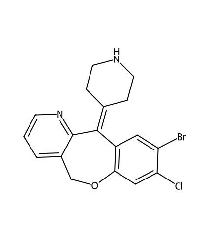 Clc1cc2c(cc1Br)C(=C1CCNCC1)c1ncccc1CO2